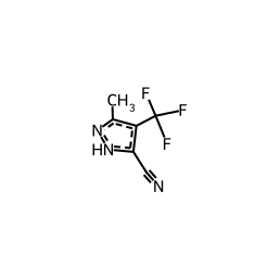 Cc1n[nH]c(C#N)c1C(F)(F)F